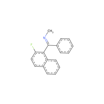 C/N=C(\c1ccccc1)c1c(F)ccc2ccccc12